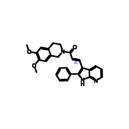 COc1cc2c(cc1OC)CN(C(=O)/C=C/c1c(-c3ccccc3)[nH]c3ncccc13)CC2